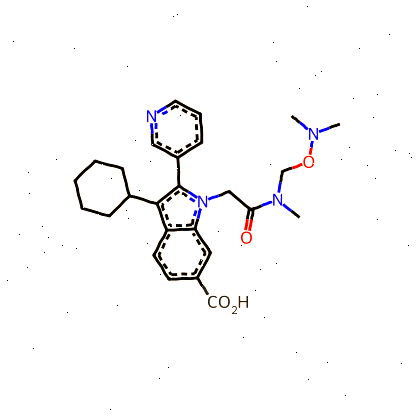 CN(C)OCN(C)C(=O)Cn1c(-c2cccnc2)c(C2CCCCC2)c2ccc(C(=O)O)cc21